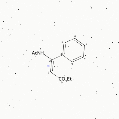 CCOC(=O)/C=C(/NC(C)=O)c1ccccc1